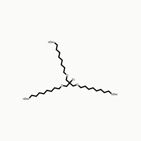 CCCCCCCCCCCCCCCCCCOCC(CC)(COCCCCCCCCCCCCCCCCCC)COCCCCCCCCCCCCCCCCCC